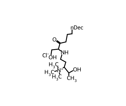 CCCCCCCCCCCCCC(=O)C(CO)NCCC(C(C)O)[N+](C)(C)C.[Cl-]